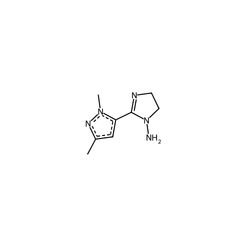 Cc1cc(C2=NCCN2N)n(C)n1